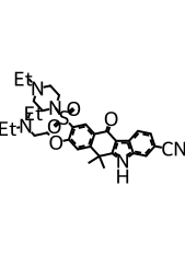 CCN(CC)CCOc1cc2c(cc1S(=O)(=O)N1CCN(CC)CC1)C(=O)c1c([nH]c3cc(C#N)ccc13)C2(C)C